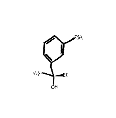 CC[C@](C)(O)c1cccc(O)c1